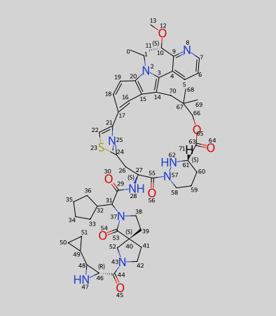 CCn1c(-c2cccnc2[C@H](C)OC)c2c3cc(ccc31)-c1csc(n1)C[C@H](NC(=O)C(C1CCCC1)N1CC[C@]3(CCN(C(=O)[C@@H]4NC4C4CC4)C3)C1=O)C(=O)N1CCC[C@H](N1)C(=O)OCC(C)(C)C2